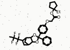 CCC1(OC(=O)COc2ccc(C3(c4ccccc4)OC4C5CC(C4O3)C(C(F)(F)C(C)(F)F)C5)cc2)CCCC1